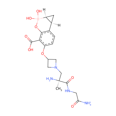 C[C@](N)(CN1CC(Oc2ccc3c(c2C(=O)O)O[B-](O)(O)[C@H]2C[C@@H]32)C1)C(=O)NCC([NH3+])=O